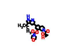 CC(C)c1c[nH]c2ncc(-c3cc4c(c(OC(=O)N5CCOCC5)c3)CN(C(=O)C3(O)CC3)CC4)cc12